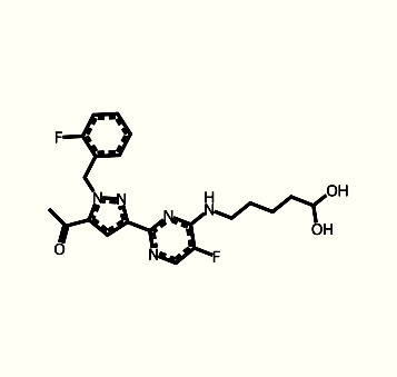 CC(=O)c1cc(-c2ncc(F)c(NCCCCC(O)O)n2)nn1Cc1ccccc1F